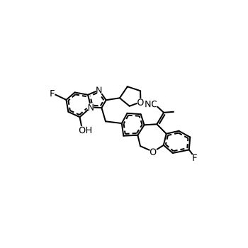 C/C(C#N)=C1/c2ccc(Cc3c(C4CCOC4)nc4cc(F)cc(O)n34)cc2COc2cc(F)ccc21